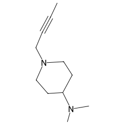 CC#CCN1CCC(N(C)C)CC1